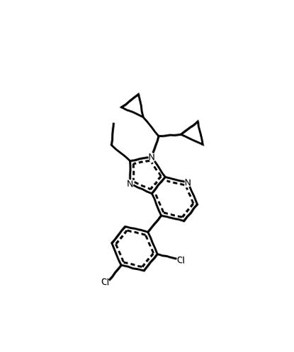 CCc1nc2c(-c3ccc(Cl)cc3Cl)ccnc2n1C(C1CC1)C1CC1